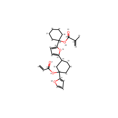 C=CC(=O)OC1(c2ccco2)CCCC(c2ccc(C3(OC(=O)C(=C)C)CCCCC3)o2)C1